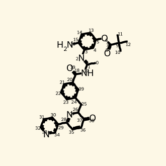 C/C(=N\c1cc(OC(=O)C(C)(C)C)ccc1N)NC(=O)c1cccc(CC2N=C(c3cccnc3)C=CC2=O)c1